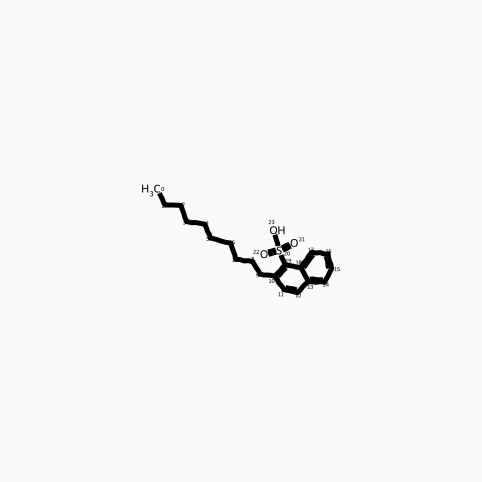 CCCCCCCCCCc1ccc2ccccc2c1S(=O)(=O)O